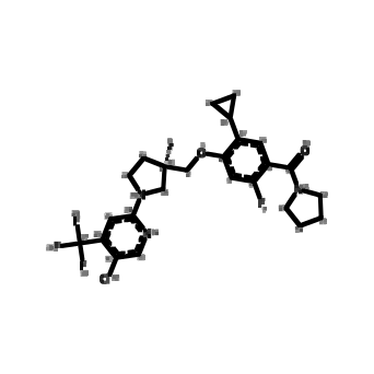 C[C@@]1(COc2cc(F)c(C(=O)N3CCCC3)cc2C2CC2)CCN(c2cc(C(F)(F)F)c(Cl)cn2)C1